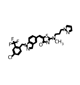 CN(CCCn1cccn1)C1=NC(=O)C(=Cc2ccc3c(cnn3Cc3ccc(Cl)cc3C(F)(F)F)c2)S1